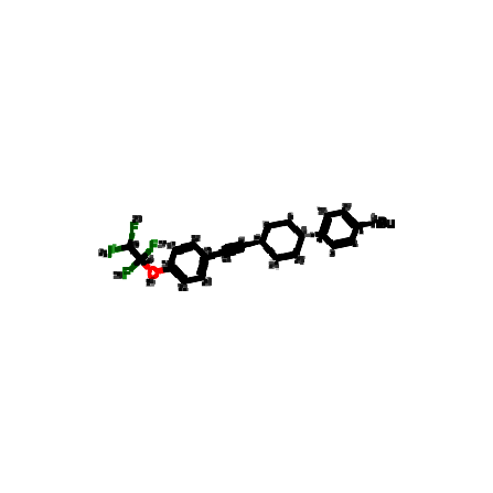 CCCCc1ccc([C@H]2CC[C@H](C#Cc3ccc(OC(F)(F)C(F)F)cc3)CC2)cc1